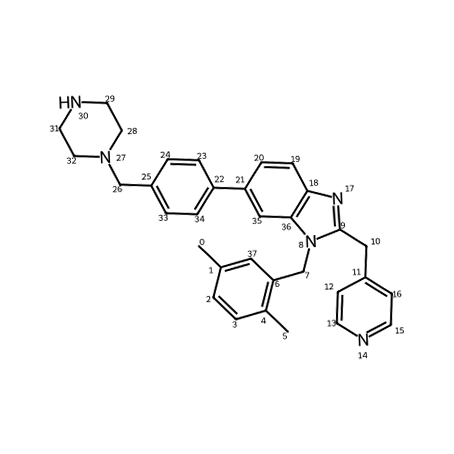 Cc1ccc(C)c(Cn2c(Cc3ccncc3)nc3ccc(-c4ccc(CN5CCNCC5)cc4)cc32)c1